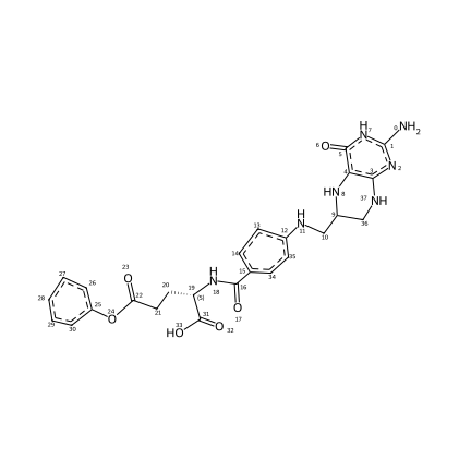 Nc1nc2c(c(=O)[nH]1)NC(CNc1ccc(C(=O)N[C@@H](CCC(=O)Oc3ccccc3)C(=O)O)cc1)CN2